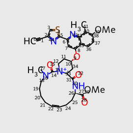 C#Cc1csc(-c2cc(O[C@@H]3CC[N+]4C(=O)N(C)CCCCC=CCC[C@H](C(=O)OC)NC(=O)C4C3)c3ccc(OC)c(C)c3n2)n1